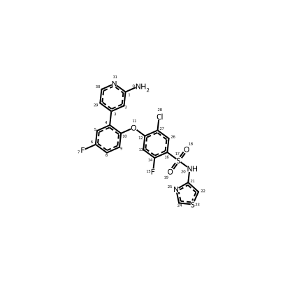 Nc1cc(-c2cc(F)ccc2Oc2cc(F)c(S(=O)(=O)Nc3cscn3)cc2Cl)ccn1